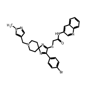 Cn1cc(CN2CCC3(CC2)N=C(SCC(=O)Nc2cnc4ccccc4c2)C(c2ccc(Br)cc2)=N3)cn1